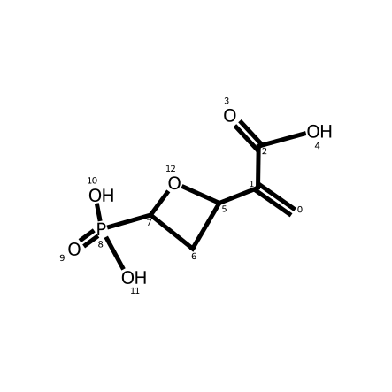 C=C(C(=O)O)C1CC(P(=O)(O)O)O1